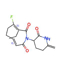 C=C1CCC(N2C(=O)/C=C/CC/C(F)=C(\CC)C2=O)C(=O)N1